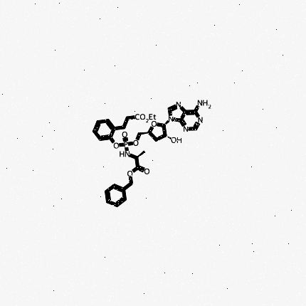 CCOC(=O)CCc1ccccc1OP(=O)(N[C@@H](C)C(=O)OCc1ccccc1)OC[C@@H]1C[C@@H](O)[C@H](n2cnc3c(N)ncnc32)O1